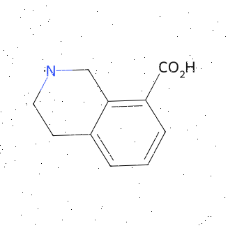 O=C(O)c1cccc2c1C[N]CC2